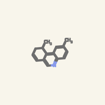 Cc1ccc2ncc3c(c2c1)C(C)CC=C3